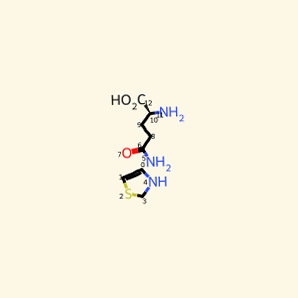 C1=CSCN1.NC(=O)CC[C@H](N)C(=O)O